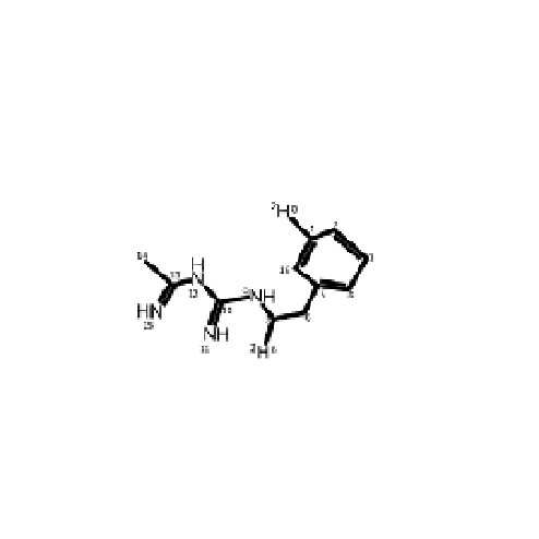 [2H]c1cccc(CC([2H])NC(=N)NC(C)=N)c1